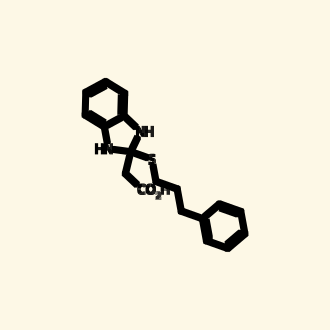 O=C(O)CC1(SCCCc2ccccc2)Nc2ccccc2N1